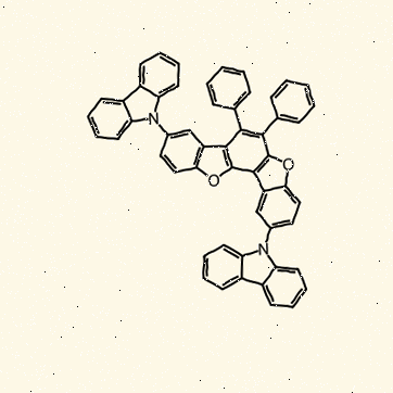 c1ccc(-c2c(-c3ccccc3)c3c4cc(-n5c6ccccc6c6ccccc65)ccc4oc3c3c2oc2ccc(-n4c5ccccc5c5ccccc54)cc23)cc1